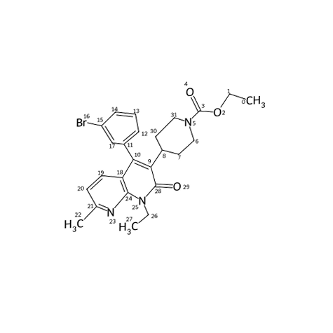 CCOC(=O)N1CCC(c2c(-c3cccc(Br)c3)c3ccc(C)nc3n(CC)c2=O)CC1